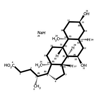 C[C@H](CCC(=O)O)[C@H]1CC[C@H]2[C@@H]3[C@H](O)C[C@@H]4C[C@H](O)CC[C@]4(C)[C@H]3CC[C@]12C.[NaH]